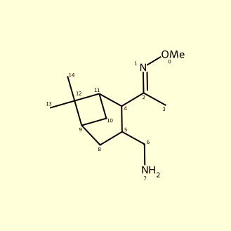 CON=C(C)C1C(CN)CC2CC1C2(C)C